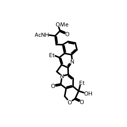 CCc1c2c(nc3cccc(C=C(NC(C)=O)C(=O)OC)c13)-c1cc3c(c(=O)n1C2)COC(=O)C3(O)CC